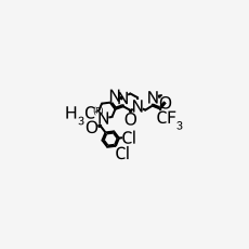 C[C@@H]1Cc2nn3c(c2CN1C(=O)c1ccc(Cl)c(Cl)c1)C(=O)N(Cc1ncoc1C(F)(F)F)CC3